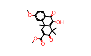 COC(=O)C1=CC2(C)C(=C(O)C(=O)c3ccc(OC)cc32)C(C)(C)C1=O